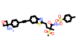 Cc1ccc(S(=O)(=O)ONC(=O)C(C)(CCc2nc3ccc(C#Cc4ccc(C5(N)COC5)cc4)cc3s2)S(C)(=O)=O)cc1